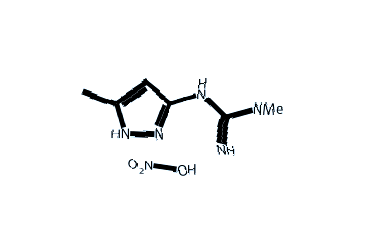 CNC(=N)Nc1cc(C)[nH]n1.O=[N+]([O-])O